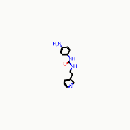 Nc1ccc(NC(=O)NCCc2cccnc2)cc1